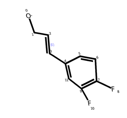 [O]C/C=C/c1ccc(F)c(F)c1